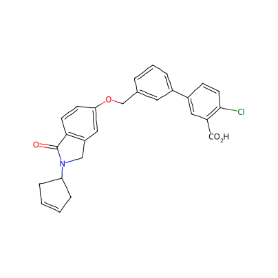 O=C(O)c1cc(-c2cccc(COc3ccc4c(c3)CN(C3CC=CC3)C4=O)c2)ccc1Cl